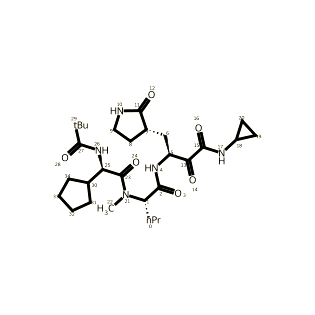 CCC[C@@H](C(=O)N[C@@H](C[C@@H]1CCNC1=O)C(=O)C(=O)NC1CC1)N(C)C(=O)[C@H](NC(=O)C(C)(C)C)C1CCCC1